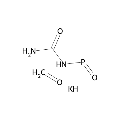 C=O.NC(=O)NP=O.[KH]